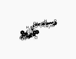 CN(CCN(C)C(=O)Oc1cc2c(c3ccccc13)[C@H](CCl)CN2C(=O)C12CC3(C(=O)N4C[C@@H](CCl)c5c4cc(OP(=O)(O)O)c4ccccc54)CC13C2)C(=O)OCCSSC(C)(C)[C@H](NC(=O)CCCCCN1C(=O)C=CC1=O)C(=O)O